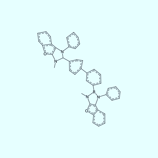 CN1B(c2cccc(-c3ccc(C4N(C)c5oc6ccccc6c5N4c4ccccc4)cc3)c2)N(c2ccccc2)c2c1oc1ccccc21